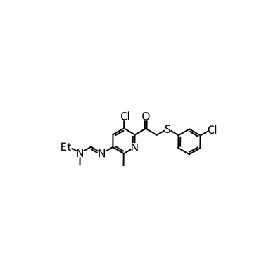 CCN(C)C=Nc1cc(Cl)c(C(=O)CSc2cccc(Cl)c2)nc1C